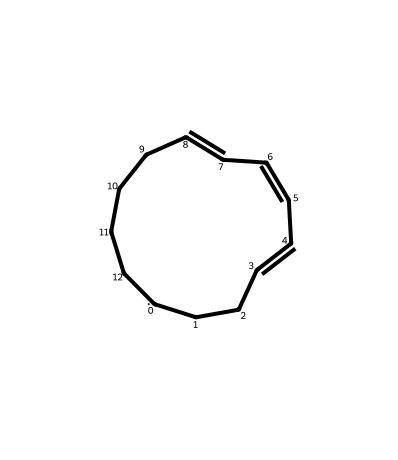 [CH]1CC/C=C/C=C\C=C\CCCC1